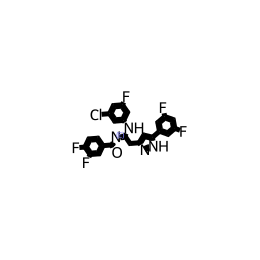 O=C(/N=C(\Cc1cc(-c2cc(F)cc(F)c2)[nH]n1)Nc1cc(F)cc(Cl)c1)c1ccc(F)c(F)c1